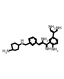 N=C/C(=C\N)c1ccc(N)c(C(=N)/C(N)=C/c2cccc(CNC3CCC(N)CC3)c2)c1